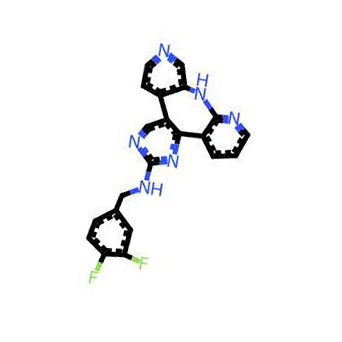 Fc1ccc(CNc2ncc3c(n2)-c2cccnc2Nc2cnccc2-3)cc1F